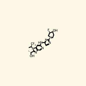 C[C@H](n1c([C@@H](C)O)nc2cnc(Nc3ccnc(N4CC[C@H](O)[C@H](F)C4)n3)cc21)C(F)(F)F